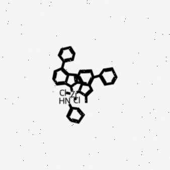 CC1=Cc2c(-c3ccccc3)cccc2[CH]1[Zr]([Cl])([Cl])([NH]c1ccccc1)[CH]1C(C)=Cc2c(-c3ccccc3)cccc21